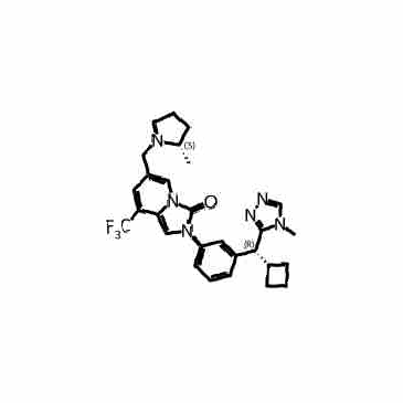 C[C@H]1CCCN1Cc1cc(C(F)(F)F)c2cn(-c3cccc([C@H](c4nncn4C)C4CCC4)c3)c(=O)n2c1